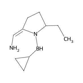 CCC1CC/C(=C/N)N1BC1CC1